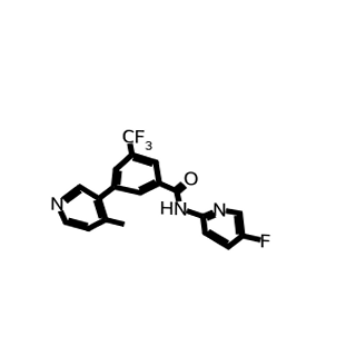 Cc1ccncc1-c1cc(C(=O)Nc2ccc(F)cn2)cc(C(F)(F)F)c1